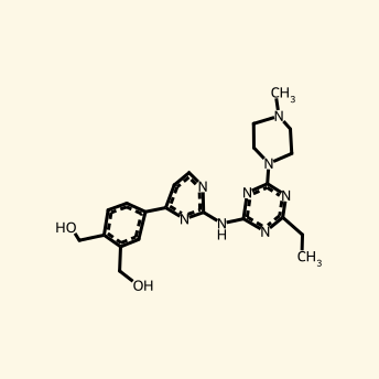 CCc1nc(Nc2nccc(-c3ccc(CO)c(CO)c3)n2)nc(N2CCN(C)CC2)n1